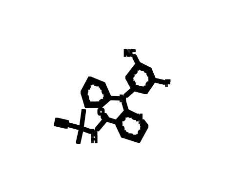 C#CC(C)(C)NC(=O)c1cccnc1N(c1ccccc1)c1cc(F)cc(C#N)c1